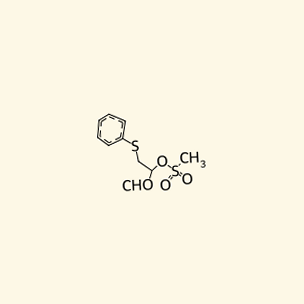 CS(=O)(=O)OC(C=O)CSc1ccccc1